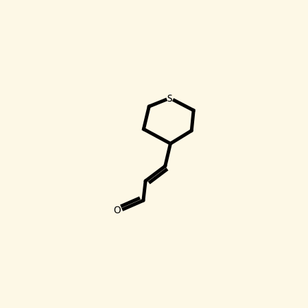 O=CC=CC1CCSCC1